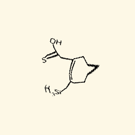 OC(=S)C1=C([SiH3])CCC1